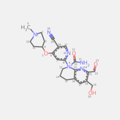 CN1CCC(Oc2cc([N+]3(C(N)=O)CCCc4cc(CO)c(C=O)nc43)ncc2C#N)CC1